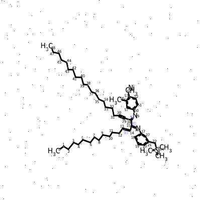 CCCCCCCCCCCCC/C=C/C(=N\c1cccc(C[Si](C)(C)C)c1)C(/C#CCCCCCCCCCCCCCCCCCC)=N/c1ccc(C)c(C)c1.[Ni]